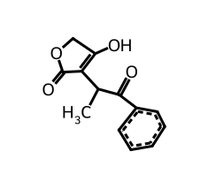 CC(C(=O)c1ccccc1)C1=C(O)COC1=O